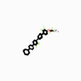 Fc1c(OC(F)(F)C(F)(F)F)ccc(-c2ccc(-c3ccc(C4=CCC(C5CCCCC5)CC4)c(F)c3F)cc2)c1F